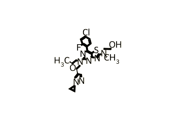 C[C@H]1CN(c2nc(-c3ccc(Cl)cc3F)c3sc(N(C)CCO)nc3n2)C[C@@H](c2cnn(C3CC3)c2)O1